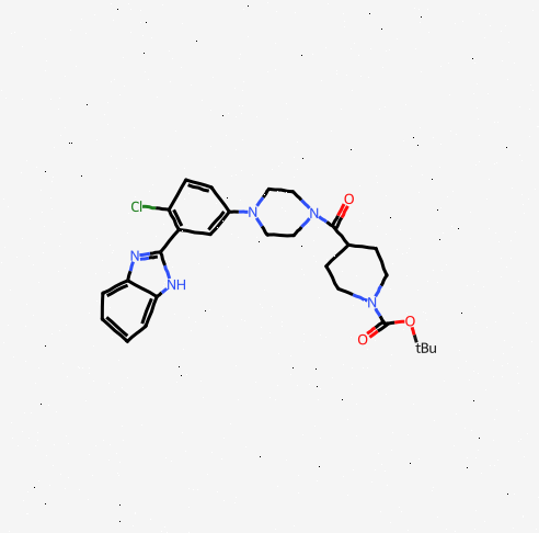 CC(C)(C)OC(=O)N1CCC(C(=O)N2CCN(c3ccc(Cl)c(-c4nc5ccccc5[nH]4)c3)CC2)CC1